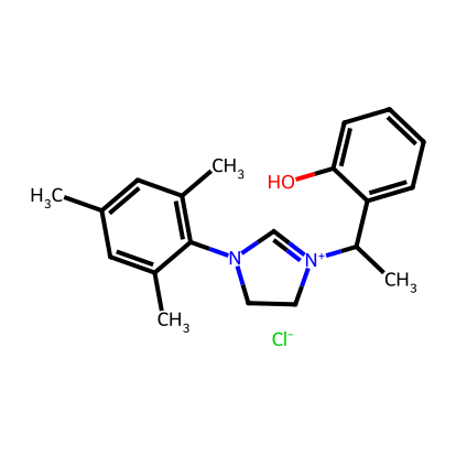 Cc1cc(C)c(N2C=[N+](C(C)c3ccccc3O)CC2)c(C)c1.[Cl-]